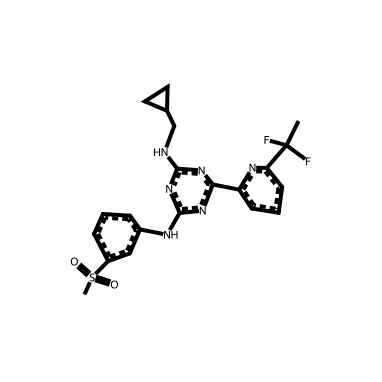 CC(F)(F)c1cccc(-c2nc(NCC3CC3)nc(Nc3cccc(S(C)(=O)=O)c3)n2)n1